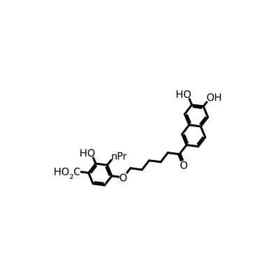 CCCc1c(OCCCCCC(=O)c2ccc3cc(O)c(O)cc3c2)ccc(C(=O)O)c1O